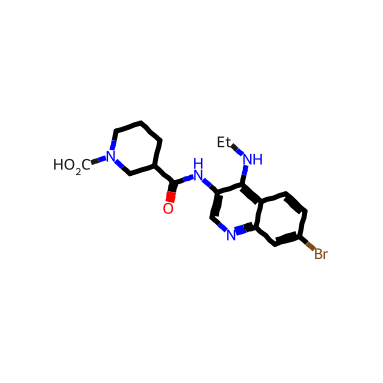 CCNc1c(NC(=O)C2CCCN(C(=O)O)C2)cnc2cc(Br)ccc12